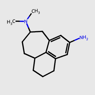 CN(C)C1CCC2CCCc3cc(N)cc(c32)C1